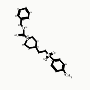 Cc1ccc(S(=O)(=O)CCC2CCN(C(=O)OCc3ccccc3)CC2)cc1